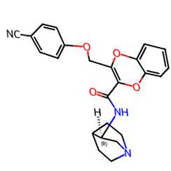 N#Cc1ccc(OCC2=C(C(=O)N[C@H]3CN4CCC3CC4)Oc3ccccc3O2)cc1